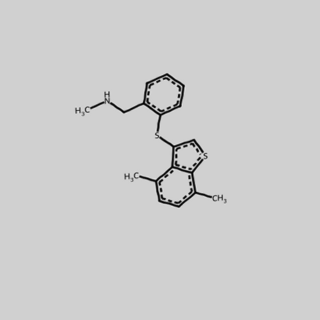 CNCc1ccccc1Sc1csc2c(C)ccc(C)c12